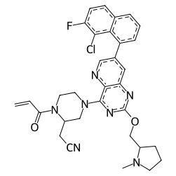 C=CC(=O)N1CCN(c2nc(OCC3CCCN3C)nc3cc(-c4cccc5ccc(F)c(Cl)c45)cnc23)CC1CC#N